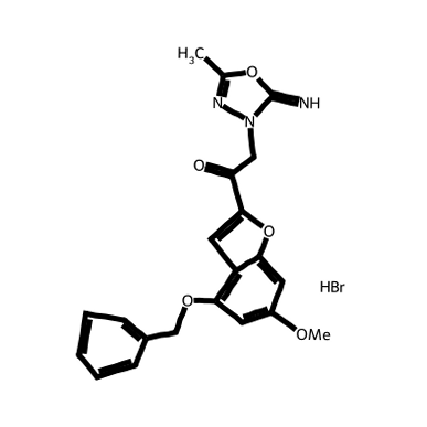 Br.COc1cc(OCc2ccccc2)c2cc(C(=O)Cn3nc(C)oc3=N)oc2c1